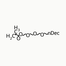 C=C(C)C(=O)OCCOCCOCCOCCCCCCCCCCCC